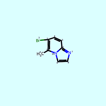 Cc1c(Br)ccc2nccn12